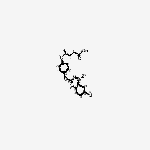 CC(CCC(=O)O)Oc1ccc(Oc2nc3ccc(Cl)cc3[n+]([O-])n2)cc1